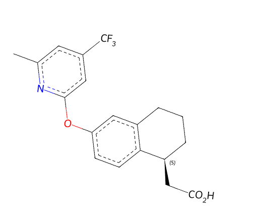 Cc1cc(C(F)(F)F)cc(Oc2ccc3c(c2)CCC[C@H]3CC(=O)O)n1